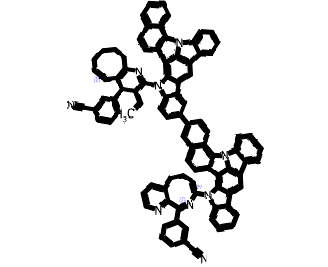 CCC1C(n2c3ccc(-c4ccc5c(ccc6c7c8c(cc9c%10ccccc%10n(c56)c97)c5ccccc5n8C5=C/CCc6cccnc6/C(c6cccc(C#N)c6)=N\5)c4)cc3c3cc4c5ccccc5n5c6c7ccccc7ccc6c(c32)c45)=NC2=C(/C=C\CCCC2)C1c1cccc(C#N)c1